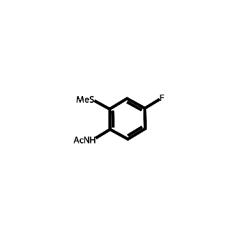 CSc1cc(F)ccc1NC(C)=O